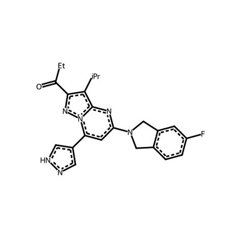 CCC(=O)c1nn2c(-c3cn[nH]c3)cc(N3Cc4ccc(F)cc4C3)nc2c1C(C)C